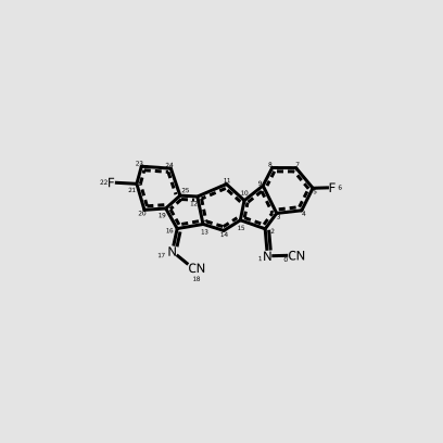 N#C/N=c1\c2cc(F)ccc2c2cc3c(cc12)/c(=N\C#N)c1cc(F)ccc13